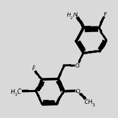 COc1ccc(C)c(F)c1COc1ccc(F)c(N)c1